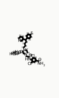 Cl.Cl.Cl.NC(=O)c1cc(Cl)c(NC(=O)CN2CCN(CCCCC(c3ccc(F)cc3)c3cccnc3)CC2)c(Cl)c1.O.O